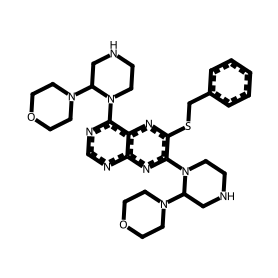 c1ccc(CSc2nc3c(N4CCNCC4N4CCOCC4)ncnc3nc2N2CCNCC2N2CCOCC2)cc1